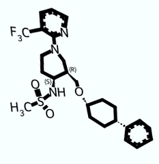 CS(=O)(=O)N[C@H]1CCN(c2ncccc2C(F)(F)F)C[C@H]1CO[C@H]1CC[C@@H](c2ccccc2)CC1